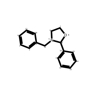 c1ccc(CN2CCOC2c2ccccc2)cc1